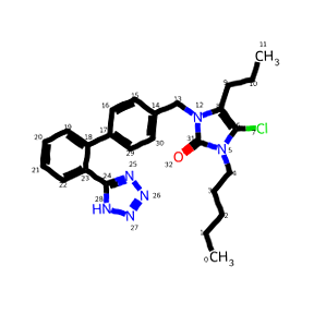 CCCCCn1c(Cl)c(CCC)n(Cc2ccc(-c3ccccc3-c3nnn[nH]3)cc2)c1=O